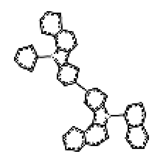 c1ccc(-n2c3ccc(-c4ccc5c(c4)c4c6ccccc6ccc4n5-c4cccc5ccccc45)cc3c3ccc4ccccc4c32)cc1